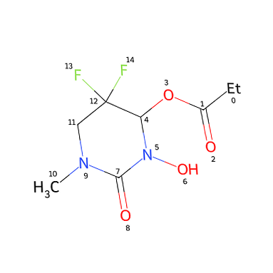 CCC(=O)OC1N(O)C(=O)N(C)CC1(F)F